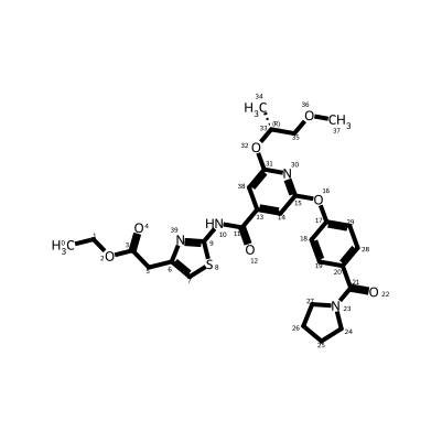 CCOC(=O)Cc1csc(NC(=O)c2cc(Oc3ccc(C(=O)N4CCCC4)cc3)nc(O[C@H](C)COC)c2)n1